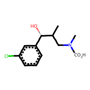 CC(CN(C)C(=O)O)[C@@H](O)c1cccc(Cl)c1